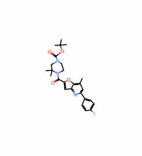 Cc1cc(-c2ccc(F)cc2)nc2cc(C(=O)N3CCN(C(=O)OC(C)(C)C)CC3(C)C)oc12